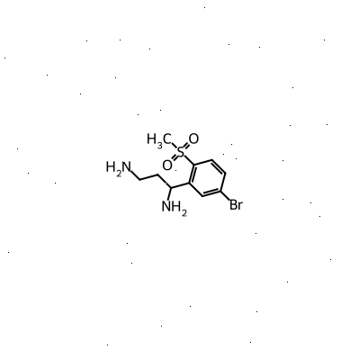 CS(=O)(=O)c1ccc(Br)cc1C(N)CCN